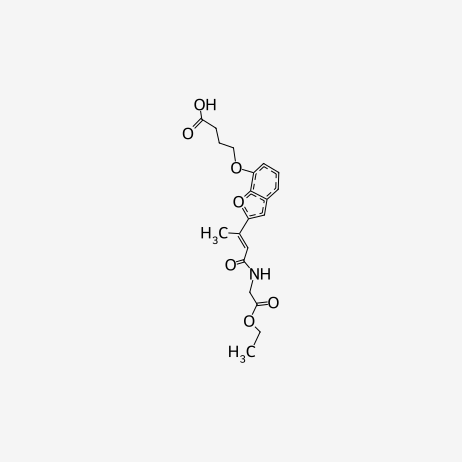 CCOC(=O)CNC(=O)C=C(C)c1cc2cccc(OCCCC(=O)O)c2o1